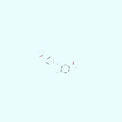 CC(C)(O)C(=O)C1=CCC(C2(C)CC(C)(C)c3ccc(C(=O)C(C)(C)O)cc32)C=C1